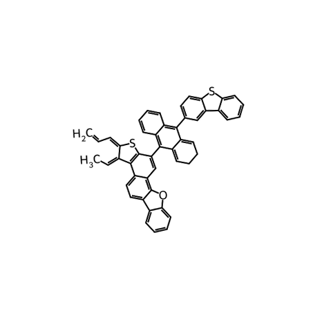 C=C/C=c1/sc2c(-c3c4c(c(-c5ccc6sc7ccccc7c6c5)c5ccccc35)=CCCC=4)cc3c(ccc4c5ccccc5oc43)c2/c1=C/C